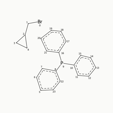 BrCC1CC1.c1ccc(P(c2ccccc2)c2ccccc2)cc1